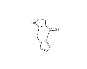 O=C1c2cccn2CC2NCCN12